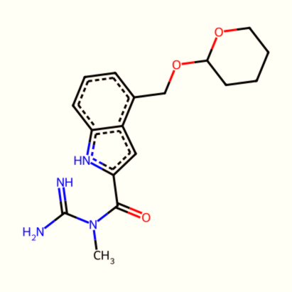 CN(C(=N)N)C(=O)c1cc2c(COC3CCCCO3)cccc2[nH]1